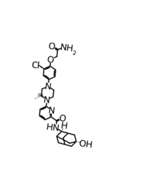 C[C@@H]1CN(c2ccc(OCC(N)=O)c(Cl)c2)CCN1c1cccc(C(=O)N[C@H]2C3CC4CC2C[C@](O)(C4)C3)n1